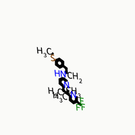 C=C(Cc1ccc(SCC)cc1)Nc1ccc(C(=C)C(C)(C)c2ccc(C(F)(F)F)cn2)nc1